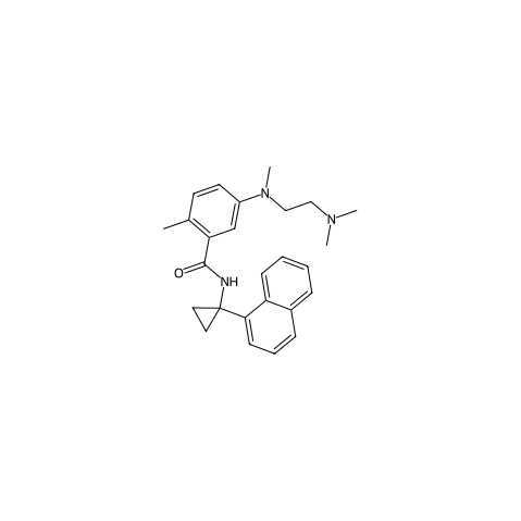 Cc1ccc(N(C)CCN(C)C)cc1C(=O)NC1(c2cccc3ccccc23)CC1